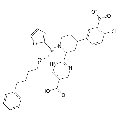 O=C(O)C1=CNC(C2CC(c3ccc(Cl)c([N+](=O)[O-])c3)CCN2[C@H](COCCCCc2ccccc2)c2ccco2)=NC1